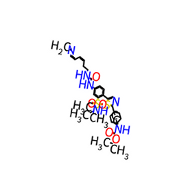 C=N/C=C\C=C/CCNC(=O)Nc1ccc(-c2cnc(C34CCC(NC(=O)OC(C)C)(CC3)CC4)s2)c(S(=O)(=O)NC(C)(C)C)c1